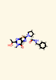 CC(O)c1nc2sc(N3CCC[C@@H]3C(=O)NCc3ccccc3)nc2c(=O)n1C